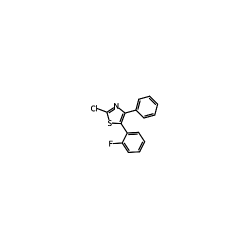 Fc1ccccc1-c1sc(Cl)nc1-c1ccccc1